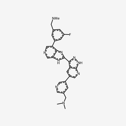 CNCc1cc(F)cc(-c2cncc3[nH]c(-c4n[nH]c5ncc(-c6cncc(CN(C)C)c6)cc45)nc23)c1